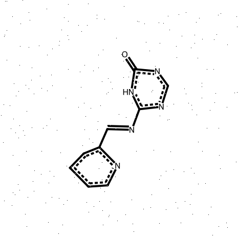 O=c1ncnc(N=Cc2ccccn2)[nH]1